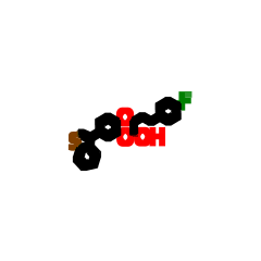 O=C(O)C(CCc1ccc(F)cc1)Oc1ccc(-c2csc3ccccc23)cc1